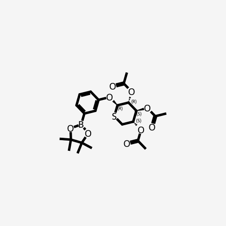 CC(=O)O[C@@H]1[C@@H](OC(C)=O)[C@H](OC(C)=O)CS[C@H]1Oc1cccc(B2OC(C)(C)C(C)(C)O2)c1